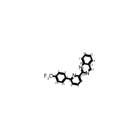 FC(F)(F)c1ccc(-c2cccc(-c3ncc4ccccc4n3)n2)cc1